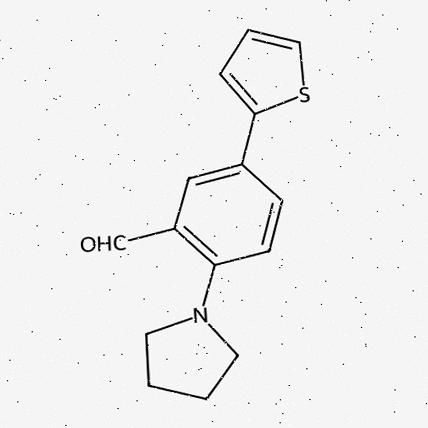 O=Cc1cc(-c2cccs2)ccc1N1CCCC1